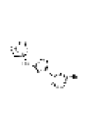 CC[C@@H](CO)Nc1nc(-c2cccc(Br)c2)cs1